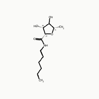 CCCCCCNC(=O)[C@H]1O[C@@H](C)C(O)[C@H]1O